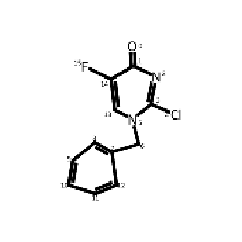 O=c1nc(Cl)n(Cc2ccccc2)cc1F